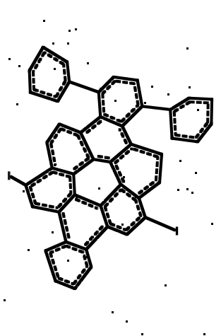 Ic1cc2c3ccccc3c3cc(I)c4ccc5c6c(-c7ccccc7)ccc(-c7ccccc7)c6c6ccc1c1c2c3c4c5c61